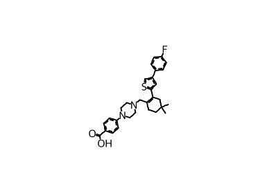 CC1(C)CCC(CN2CCN(c3ccc(C(=O)O)cc3)CC2)=C(c2cc(-c3ccc(F)cc3)cs2)C1